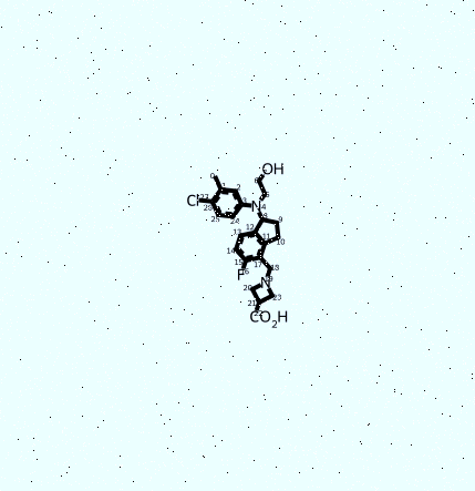 Cc1cc(N(CCO)C2CCc3c2ccc(F)c3CN2CC(C(=O)O)C2)ccc1Cl